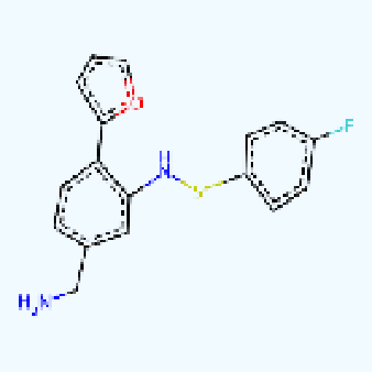 NCc1ccc(-c2ccco2)c(NSc2ccc(F)cc2)c1